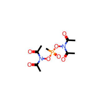 CC(=O)N(OP(C)(=O)ON(C(C)=O)C(C)=O)C(C)=O